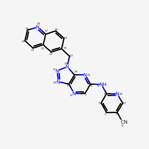 N#Cc1ccc(Nc2cnc3nnn(Cc4ccc5ncccc5c4)c3n2)nc1